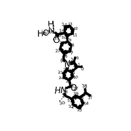 Cc1c(C)n(Cc2ccc(-c3ccccc3C(=O)NO)cc2)c2ccc(C(=O)N[C@@H](C)c3cccc(C(C)C)c3)cc12